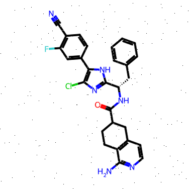 N#Cc1ccc(-c2[nH]c([C@H](Cc3ccccc3)NC(=O)C3CCc4c(ccnc4N)C3)nc2Cl)cc1F